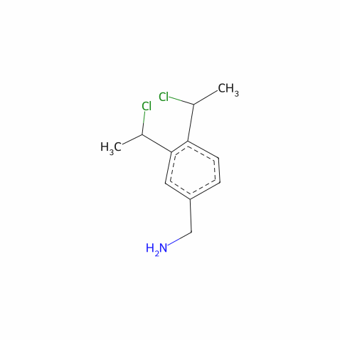 CC(Cl)c1ccc(CN)cc1C(C)Cl